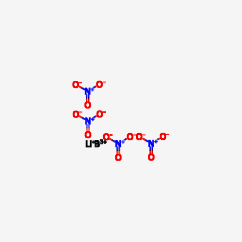 O=[N+]([O-])[O-].O=[N+]([O-])[O-].O=[N+]([O-])[O-].O=[N+]([O-])[O-].[B+3].[Li+]